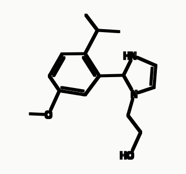 COc1ccc(C(C)C)c(C2NC=CN2CCO)c1